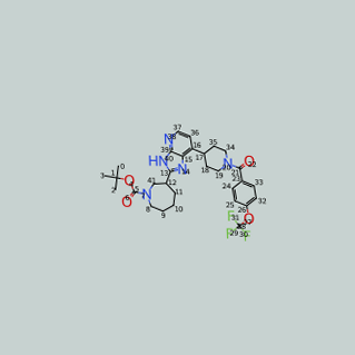 CC(C)(C)OC(=O)N1CCCCC(c2nc3c(C4CCN(C(=O)c5ccc(OC(F)(F)F)cc5)CC4)ccnc3[nH]2)C1